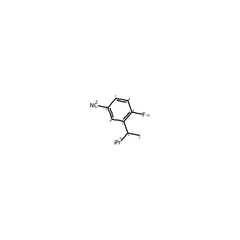 CC(C)C(C)c1cc(C#N)ccc1F